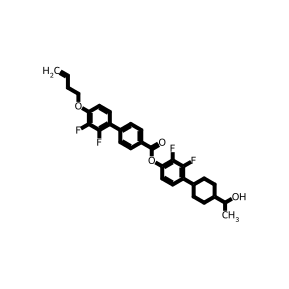 C=CCCOc1ccc(-c2ccc(C(=O)Oc3ccc(C4CCC(C(C)O)CC4)c(F)c3F)cc2)c(F)c1F